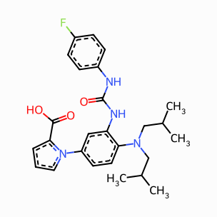 CC(C)CN(CC(C)C)c1ccc(-n2cccc2C(=O)O)cc1NC(=O)Nc1ccc(F)cc1